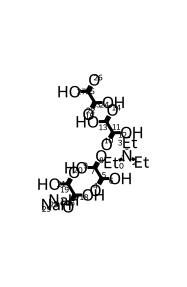 CCN(CC)CC.O=C(O)C(=O)O.O=C(O)C(=O)O.O=C(O)C(=O)O.O=C(O)C(=O)O.[NaH].[NaH]